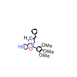 COc1cc(C(=O)N(C/C(C)=C/c2ccccc2)CC2CCNC2)cc(OC)c1OC